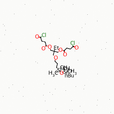 CCCC[Si](C)(C)O[Si](C)(C)CCCOCC(CC)(COC(=O)CCC(=O)Cl)COC(=O)CCC(=O)Cl